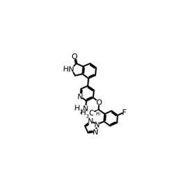 C[C@@H](Oc1cc(-c2cccc3c2CNC3=O)cnc1N)c1cc(F)ccc1-n1nccn1